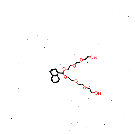 OCCOCCOCCOC(OCCOCCOCCO)c1cccc2ccccc12